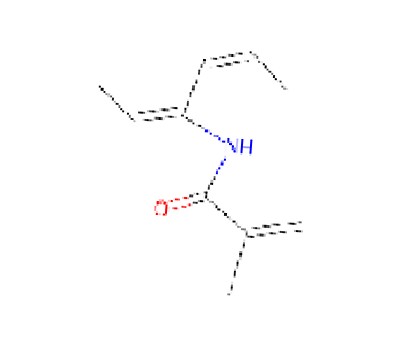 C=C(C)C(=O)NC(/C=C\C)=C/C